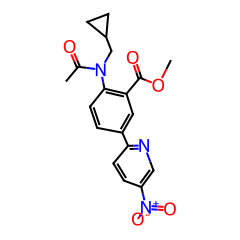 COC(=O)c1cc(-c2ccc([N+](=O)[O-])cn2)ccc1N(CC1CC1)C(C)=O